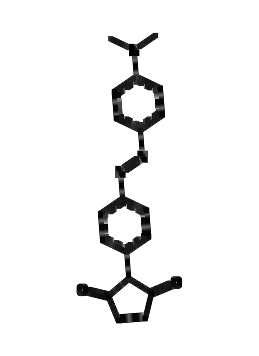 CN(C)c1ccc(N=Nc2ccc(C3C(=O)C=CC3=O)cc2)cc1